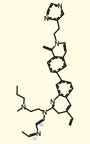 C=CC1=Cc2ccc(-c3ccc4c(c3)C=CN(CCc3cnccn3)C4=C)cc2N=C(N(/C=C/N=C\C)CCN(C)CCC)C1